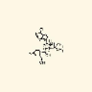 CC1(C)O[C@H]2[C@@H](O1)[C@H](n1ccc3c(Cl)ncnc31)O[C@@H]2[C@@H](O)c1ccc(Cl)cc1CO